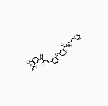 O=C(C=Cc1cccc(Oc2ccnc(C(=O)NCCCn3ccnc3)c2)c1)Nc1ccc(Cl)c(C(F)(F)F)c1